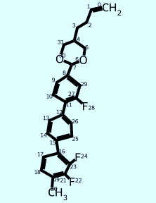 C=CCCC1COC(c2ccc(-c3ccc(-c4ccc(C)c(F)c4F)cc3)c(F)c2)OC1